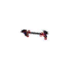 COc1ccc(CN(C(=O)OCOC(=O)CCCCCCCCCCCCCCC(=O)OCOC(=O)N(Cc2ccc(OC)cc2)C23CC4C[C@@](C)(C2)C[C@](C)(C4)C3)C23CC4C[C@@](C)(C2)C[C@](C)(C4)C3)cc1